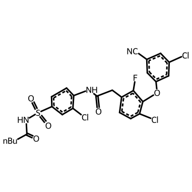 CCCCC(=O)NS(=O)(=O)c1ccc(NC(=O)Cc2ccc(Cl)c(Oc3cc(Cl)cc(C#N)c3)c2F)c(Cl)c1